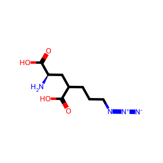 [N-]=[N+]=NCCCC(C[C@@H](N)C(=O)O)C(=O)O